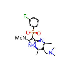 CNc1nn2c(C)c(CN(C)C)c(C)nc2c1S(=O)(=O)c1cccc(F)c1